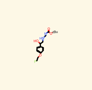 CC(C)(C)OC(=O)N=CNCC(O)c1ccc(OCCF)cc1